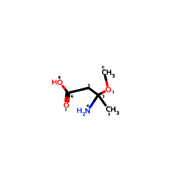 COC(C)(N)CC(=O)O